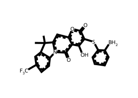 Bc1ccccc1Sc1c(O)c2c(=O)n3c(cc2oc1=O)C(C)(C)c1cc(C(F)(F)F)ccc1-3